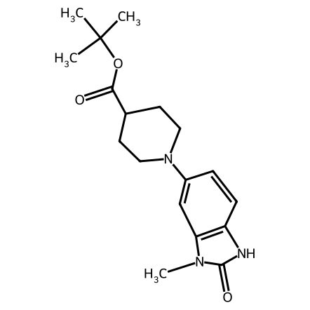 Cn1c(=O)[nH]c2ccc(N3CCC(C(=O)OC(C)(C)C)CC3)cc21